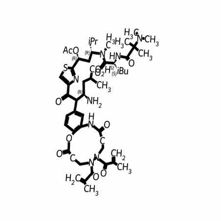 C=C(C)C(=O)N1CCC(=O)Nc2cc(C(C(=O)c3csc([C@@H](C[C@H](C(C)C)N(C)C(=O)[C@@H](NC(=O)C(C)(C)N(C)C)[C@@H](C)CC)OC(C)=O)n3)[C@H](N)CC(C)C(=O)O)ccc2OC(=O)CCN1C(=O)C(=C)C